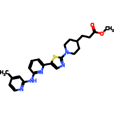 COC(=O)CCC1CCN(c2ncc(-c3cccc(Nc4cc(C)ccn4)n3)s2)CC1